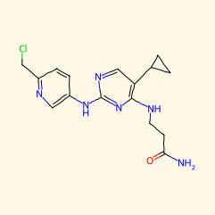 NC(=O)CCNc1nc(Nc2ccc(CCl)nc2)ncc1C1CC1